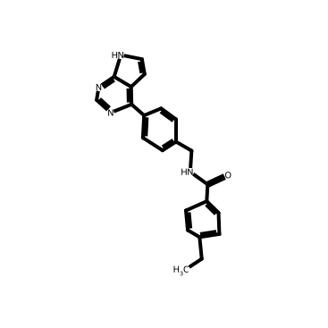 CCc1ccc(C(=O)NCc2ccc(-c3ncnc4[nH]ccc34)cc2)cc1